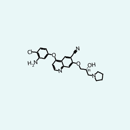 N#Cc1cc2c(Oc3ccc(Cl)c(N)c3)ccnc2cc1OC[C@H](O)CN1CCCC1